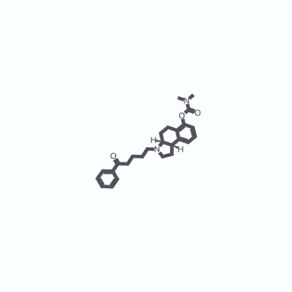 CN(C)C(=O)Oc1cccc2c1CC[C@@H]1[C@H]2CCN1CCCCC(=O)c1ccccc1